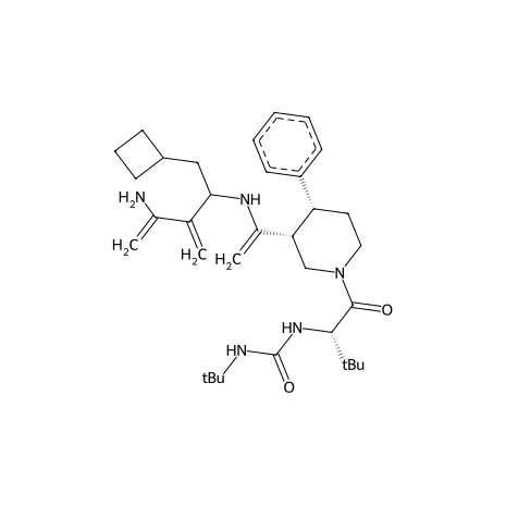 C=C(N)C(=C)C(CC1CCC1)NC(=C)[C@H]1CN(C(=O)[C@@H](NC(=O)NC(C)(C)C)C(C)(C)C)CC[C@H]1c1ccccc1